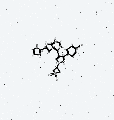 O=S1(=O)CC(n2cc(-c3ncnc4oc(-c5nccs5)cc34)c(-c3ccc(F)cc3)n2)C1